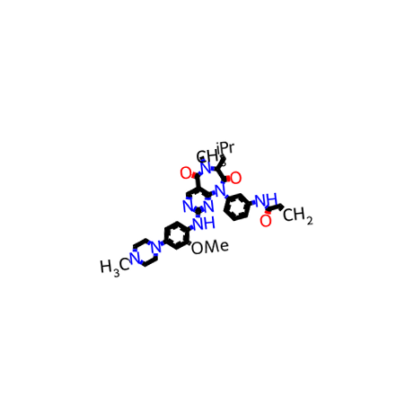 C=CC(=O)Nc1cccc(N2C(=O)C(CC(C)C)N(C)C(=O)c3cnc(Nc4ccc(N5CCN(C)CC5)cc4OC)nc32)c1